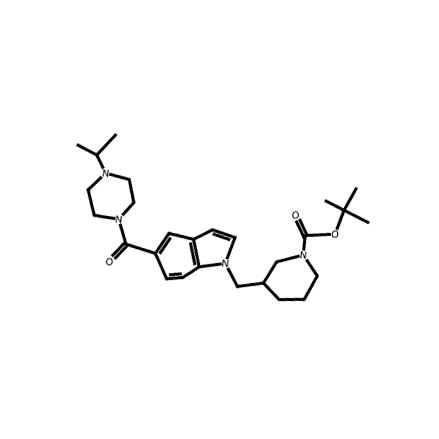 CC(C)N1CCN(C(=O)c2ccc3c(ccn3CC3CCCN(C(=O)OC(C)(C)C)C3)c2)CC1